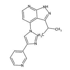 CC(C)c1n[nH]c2nccc(-n3cnc(-c4cccnc4)c3)c12